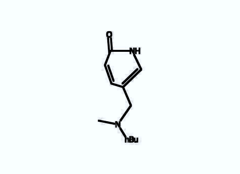 CCCCN(C)Cc1ccc(=O)[nH]c1